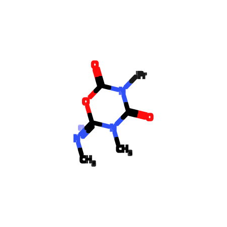 C/N=c1/oc(=O)n(C(C)C)c(=O)n1C